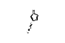 [O]=[Ti]=[O].c1cc[nH]c1